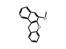 COc1cc2ccccc2c2c1Oc1ccccc1C2